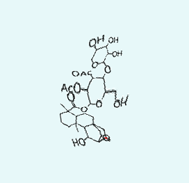 C=C1CC23CCC4C(C)(C(=O)OC5OC(CO)C(OC6OCC(O)C(O)C6O)C(OC(C)=O)C5OC(C)=O)CCCC4(C)C2C(O)C1C(=O)C3